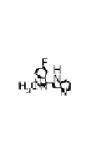 Cn1nc(-c2cc3ncccc3[nH]2)c2cc(F)ccc21